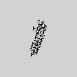 O=P(O)(OC(F)(F)C(F)(F)C(F)(F)C(F)(F)C(F)(F)C(F)(F)F)C(F)(F)C(F)(F)F